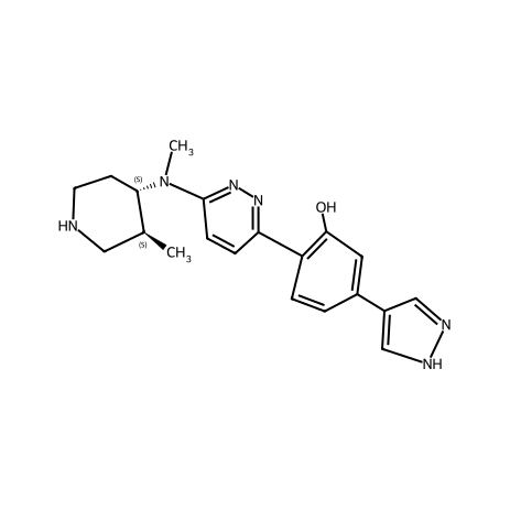 C[C@H]1CNCC[C@@H]1N(C)c1ccc(-c2ccc(-c3cn[nH]c3)cc2O)nn1